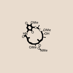 CNOO[C@H]1/C(C)=C/[C@H](C)[C@@H](O)[C@@H](OC)C[C@H](C)CC2=C(OC)C(=O)C=C(NC(=O)/C(C)=C/C=C\[C@@H]1OC)C2=O